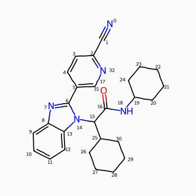 N#Cc1ccc(-c2nc3ccccc3n2C(C(=O)NC2CCCCC2)C2CCCCC2)cn1